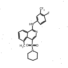 Cc1cccc2c(Nc3ccc(F)c(C(F)(F)F)c3)ncc(S(=O)(=O)N3CCCCC3)c12